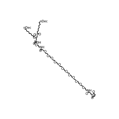 CCCCCCCCCCCCCCCCCC(=O)OCC(COP(=O)(O)OCCNC(=O)CCOCCOCCOCCOCCOCCOCCOCCOCCOCCOCCOCCOCCNC(=O)CCN1C(=O)C=CC1=O)OC(=O)CCCCCCCCCCCCCCCCC